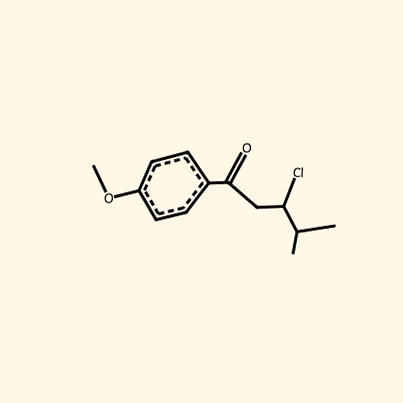 COc1ccc(C(=O)CC(Cl)C(C)C)cc1